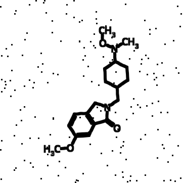 COc1ccc2c(c1)C(=O)N(CC1CCC(N(C)OC)CC1)C2